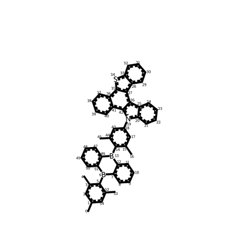 Cc1cc(C)c(B2c3ccccc3B(c3c(C)cc(-n4c5ccccc5c5c6c7ccccc7sc6c6ccccc6c54)cc3C)c3ccccc32)c(C)c1